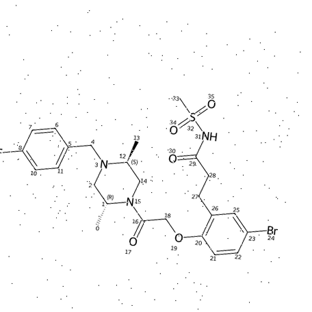 C[C@@H]1CN(Cc2ccc(F)cc2)[C@@H](C)CN1C(=O)COc1ccc(Br)cc1CCC(=O)NS(C)(=O)=O